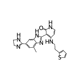 Cc1cc(C2=NCCN2)cc2[nH]c(-c3c(NCCc4cccs4)cc[nH]c3=O)nc12